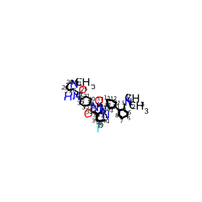 CN(C)Cc1ccccc1-c1cccc(-n2c(=O)n(C3CCC(NC(=O)[C@H]4CCCN4C)CC3)c(=O)c3cc(F)cnc32)c1